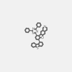 c1ccc(-c2nc(-c3ccccc3)nc(-c3ccc(-c4cccc5sc6ccccc6c45)c4oc5cc6ccncc6cc5c34)n2)cc1